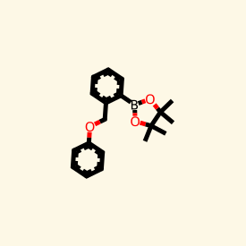 CC1(C)OB(c2ccccc2COc2ccccc2)OC1(C)C